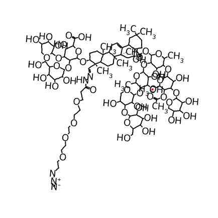 CC(=O)OC1C(C)OC(OC2C(C)OC(OC(=O)[C@]34CCC(C)(C)CC3C3=CCC5[C@@]6(C)CC[C@H](OC7OC(C(=O)O)C(O)C(OC8OCC(O)C(O)C8O)C7OC7OC(CO)C(O)C(O)C7O)[C@@](C)(/C=N/NC(=O)CCOCCOCCOCCOCCN=[N+]=[N-])C6CC[C@@]5(C)[C@]3(C)C[C@H]4O)C(OC3OC(C)C(OC4OCC(O)C(OC5OC(CO)C(O)C(O)C5O)C4O)C(O)C3O)C2O)C(O)C1OC1OCC(O)C(O)C1O